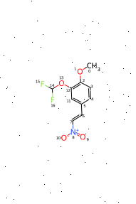 COc1ccc(/C=C/[N+](=O)[O-])cc1OC(F)F